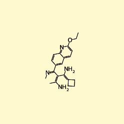 CCOc1ccc2cc(C(=N/C)/C(C(N)=C3CCC3)=C(\C)N)ccc2n1